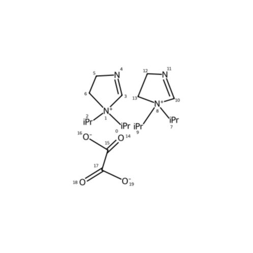 CC(C)[N+]1(C(C)C)C=NCC1.CC(C)[N+]1(C(C)C)C=NCC1.O=C([O-])C(=O)[O-]